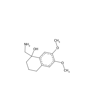 COc1cc2c(cc1OC)C(O)(CN)CCC2